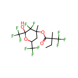 CCC(C)(C(=O)OC1(C)CC(C(F)(F)F)OC(O)(C(F)(F)F)C1(F)F)C(F)(F)F